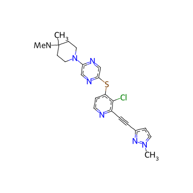 CNC1(C)CCN(c2cnc(Sc3ccnc(C#Cc4ccn(C)n4)c3Cl)cn2)CC1